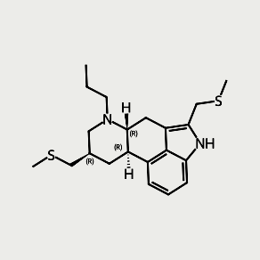 CCCN1C[C@H](CSC)C[C@@H]2c3cccc4[nH]c(CSC)c(c34)C[C@H]21